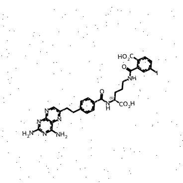 Nc1nc(N)c2nc(CCc3ccc(C(=O)N[C@@H](CCCNC(=O)c4cc(I)ccc4C(=O)O)C(=O)O)cc3)cnc2n1